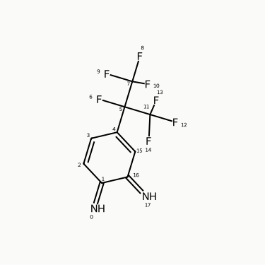 N=C1C=CC(C(F)(C(F)(F)F)C(F)(F)F)=CC1=N